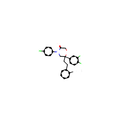 O=C(O)c1ccccc1CCC1(c2ccc(Cl)c(Cl)c2)CN(c2ccc(Cl)cc2)C(=O)CO1